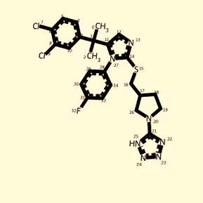 CC(C)(c1ccc(Cl)c(Cl)c1)c1cnc(SCC2CCN(c3nnn[nH]3)C2)n1-c1ccc(F)cc1